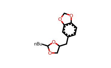 CCCCC1OCC(Cc2ccc3c(c2)OCO3)O1